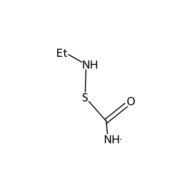 CCNSC([NH])=O